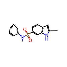 Cc1cc2ccc(S(=O)(=O)N(C)c3ccccc3)cc2[nH]1